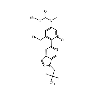 CCSc1cc(N(C)C(=O)OC(C)(C)C)c[n+]([O-])c1-c1cc2ccn(CC(F)(F)C(F)(F)F)c2cn1